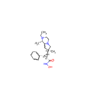 CCN1CCN2C[C@@](C)([C@H]3[C@H](C(=O)NO)[C@@H]3c3ccccc3)C=C2C1C